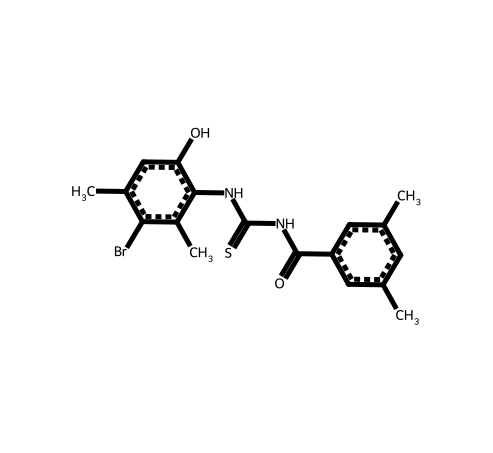 Cc1cc(C)cc(C(=O)NC(=S)Nc2c(O)cc(C)c(Br)c2C)c1